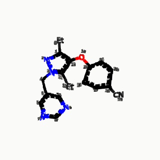 CCc1nn(Cc2cncnc2)c(CC)c1Oc1ccc(C#N)cc1